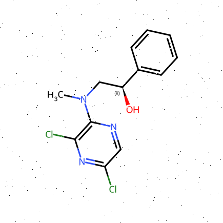 CN(C[C@H](O)c1ccccc1)c1ncc(Cl)nc1Cl